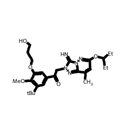 CCC(CC)Oc1cc(C)c2nn(CC(=O)c3cc(OCCCO)c(OC)c(C(C)(C)C)c3)c(=N)n2n1